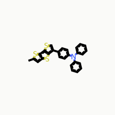 Cc1cc2sc3c(-c4ccc(N(c5ccccc5)c5ccccc5)cc4)csc3c2s1